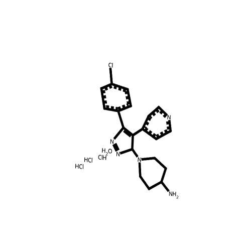 Cl.Cl.Cl.NC1CCN(C2N=NC(c3ccc(Cl)cc3)=C2c2ccncc2)CC1.O